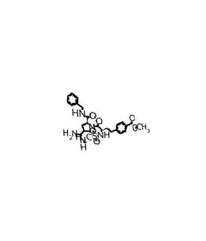 COC(=O)c1ccc(CC[C@@H](NS(C)(=O)=O)C(=O)N2CC(C(=N)N)C[C@H]2C(=O)NCc2ccccc2)cc1